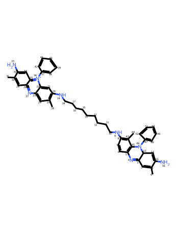 CC1=CC2=Nc3ccc(NCCCCCCCCCNc4cc5c(cc4C)nc4cc(C)c(N)cc4[n+]5-c4ccccc4)c(C)c3N(c3ccccc3)C2C=C1N